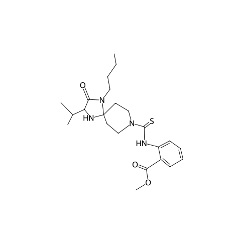 CCCCN1C(=O)C(C(C)C)NC12CCN(C(=S)Nc1ccccc1C(=O)OC)CC2